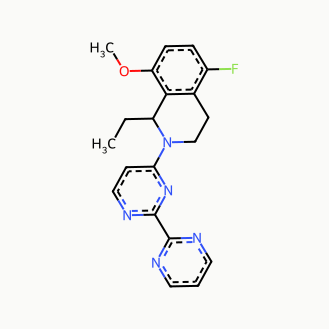 CCC1c2c(OC)ccc(F)c2CCN1c1ccnc(-c2ncccn2)n1